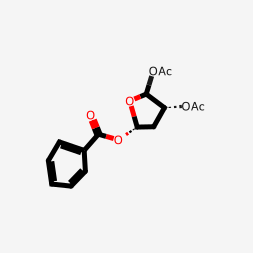 CC(=O)OC1O[C@@H](OC(=O)c2ccccc2)C[C@H]1OC(C)=O